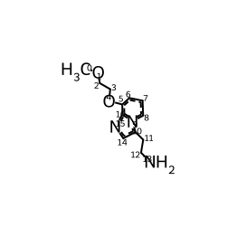 COCCOc1cccn2c(CCN)cnc12